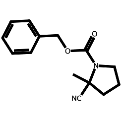 CC1(C#N)CCCN1C(=O)OCc1ccccc1